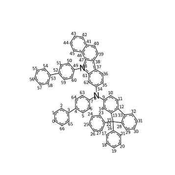 c1ccc(-c2ccc(N(c3ccc4c(c3)C(c3ccccc3)(c3ccccc3)c3ccccc3-4)c3ccc4c5ccc6ccccc6c5n(-c5ccc(-c6ccccc6)cc5)c4c3)cc2)cc1